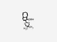 COC1=C2/C=C\C/C=C\C(=CC=C1C1OCC(C)(C)CO1)C2